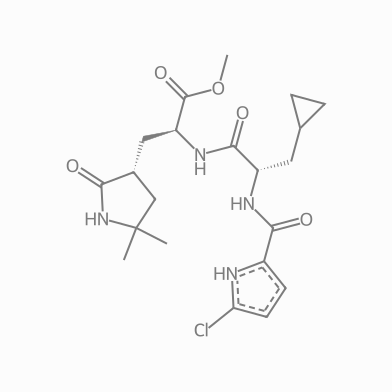 COC(=O)[C@H](C[C@@H]1CC(C)(C)NC1=O)NC(=O)[C@H](CC1CC1)NC(=O)c1ccc(Cl)[nH]1